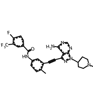 Cc1ccc(NC(=O)c2ccc(F)c(C(F)(F)F)c2)cc1C#Cc1nn(C2CCN(C)CC2)c2ncnc(N)c12